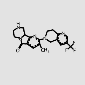 Cc1cc2c(nc1N1CCc3ncc(C(F)(F)F)cc3C1)C1CNCCN1C2=O